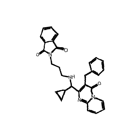 O=C1c2ccccc2C(=O)N1CCCNC(c1nc2ccccn2c(=O)c1Cc1ccccc1)C1CC1